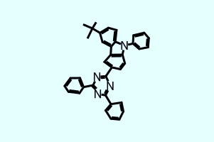 CC(C)(C)c1ccc2c(c1)c1cc(-c3nc(-c4ccccc4)nc(-c4ccccc4)n3)ccc1n2-c1ccccc1